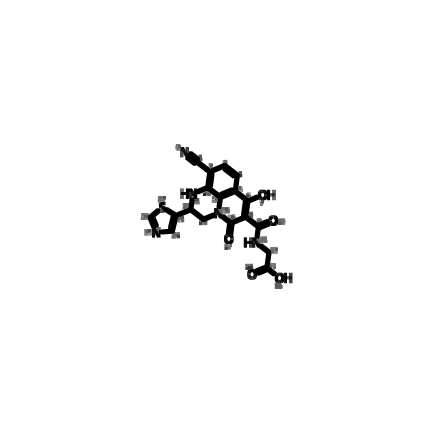 N#Cc1ccc2c(O)c(C(=O)NCC(=O)O)c(=O)n3c2c1NC(c1cncs1)C3